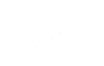 CC(C)(C)N(CC(=O)OCC[Si](C)(C)C)C(=O)OCOC(=O)c1c2ccccc2cc2ccccc12